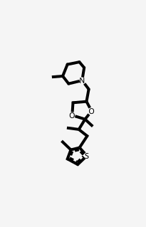 Cc1ccsc1CC(C)C1(C)OCC(CN2CCCC(C)C2)O1